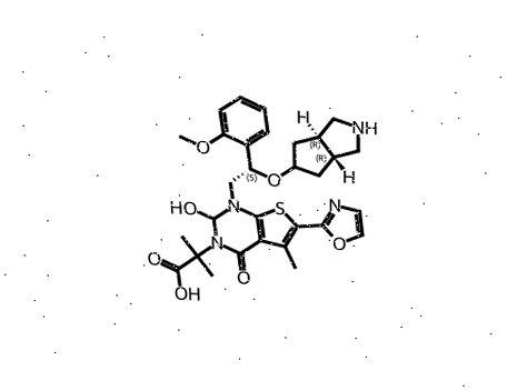 COc1ccccc1[C@@H](CN1c2sc(-c3ncco3)c(C)c2C(=O)N(C(C)(C)C(=O)O)C1O)OC1C[C@H]2CNC[C@@H]2C1